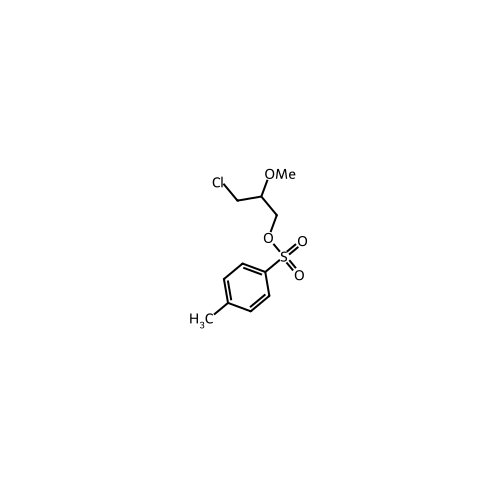 COC(CCl)COS(=O)(=O)c1ccc(C)cc1